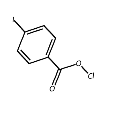 O=C(OCl)c1ccc(I)cc1